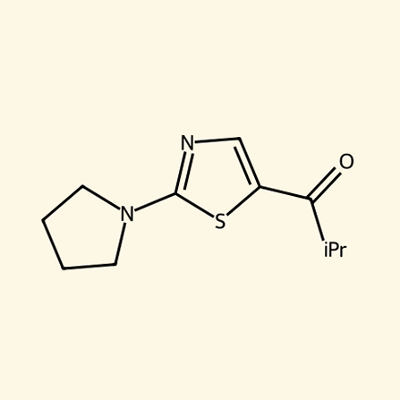 CC(C)C(=O)c1cnc(N2CCCC2)s1